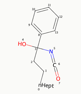 CCCCCCCCCC(O)(N=C=O)c1ccccc1